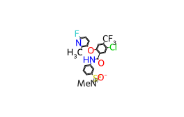 CN[S@+]([O-])c1cccc(NC(=O)c2cc(Cl)c(C(F)(F)F)cc2Oc2ccc(F)nc2C)c1